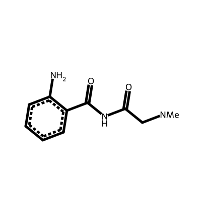 CNCC(=O)NC(=O)c1ccccc1N